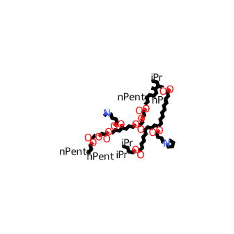 CCCCCC(CCCCC)CCOC(=O)COCC(=O)OCCCC(CCCOC(=O)COCC(=O)OCCC(CCCCC)CC(CCC)CC(C)C(CCC(C)C)COC(=O)CCCCCCCCCC(CCCCCCCCCC(=O)OCC(CCC(C)C)C(C)C)OC(=O)CCCN1CCCC1)OC(=O)CCCN(C)C